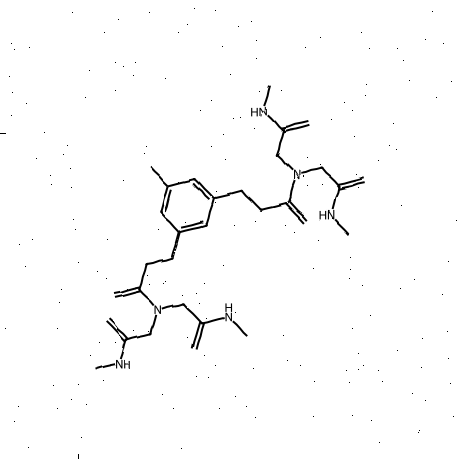 C=C(CN(CC(=C)NC)C(=C)CCc1cc(C)cc(CCC(=C)N(CC(=C)NC)CC(=C)NC)c1)NC